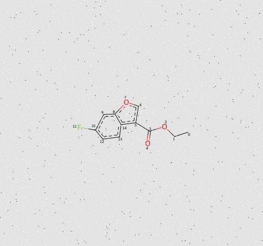 CCOC(=O)c1coc2cc(F)ccc12